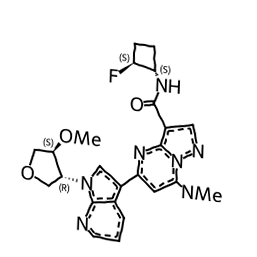 CNc1cc(-c2cn([C@@H]3COC[C@H]3OC)c3ncccc23)nc2c(C(=O)N[C@H]3CC[C@@H]3F)cnn12